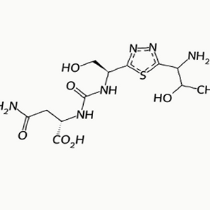 CC(O)C(N)c1nnc([C@H](CO)NC(=O)N[C@@H](CC(N)=O)C(=O)O)s1